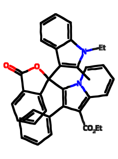 CCOC(=O)c1c(-c2ccccc2)c(C2(c3c(C)n(CC)c4ccccc34)OC(=O)c3ccccc32)n2ccccc12